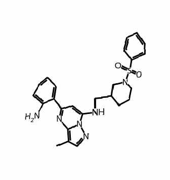 Cc1cnn2c(NCC3CCCN(S(=O)(=O)c4ccccc4)C3)cc(-c3ccccc3N)nc12